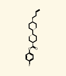 C=CCC[C@H]1CC[C@H]([C@H]2CC[C@H](C(=O)Oc3ccc(F)cc3)CC2)CC1